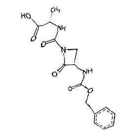 C[C@H](NC(=O)N1CC(NC(=O)OCc2ccccc2)C1=O)C(=O)O